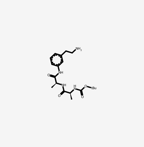 C[C@H](NC(=O)OC(C)(C)C)C(=O)N[C@@H](C)C(=O)Nc1cccc(CCN)c1